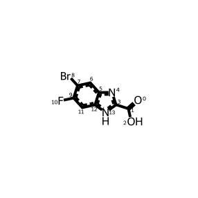 O=C(O)c1nc2cc(Br)c(F)cc2[nH]1